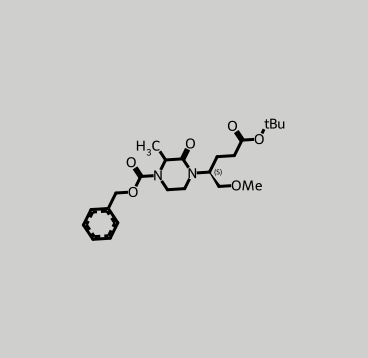 COC[C@H](CCC(=O)OC(C)(C)C)N1CCN(C(=O)OCc2ccccc2)C(C)C1=O